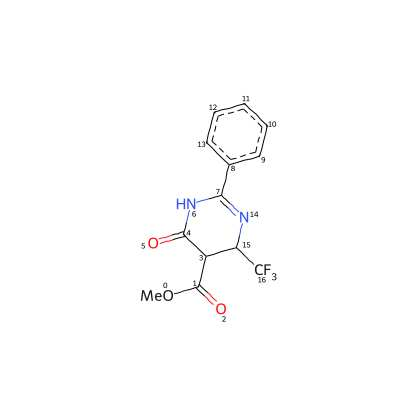 COC(=O)C1C(=O)NC(c2ccccc2)=NC1C(F)(F)F